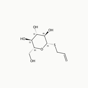 C=CCS[C@@H]1O[C@H](CO)[C@@H](O)[C@H](O)[C@H]1O